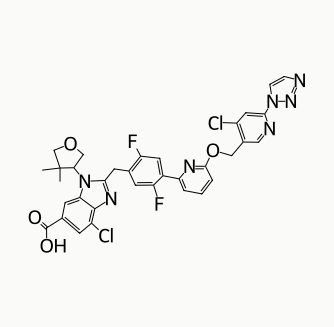 CC1(C)COCC1n1c(Cc2cc(F)c(-c3cccc(OCc4cnc(-n5ccnn5)cc4Cl)n3)cc2F)nc2c(Cl)cc(C(=O)O)cc21